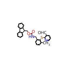 Cc1cccc(CNC(=O)OCC2c3ccccc3-c3ccccc32)c1Sc1ncccc1C=O